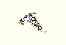 CC(C)C1CC[C@]2(NCCN3C[C@@H]4CC3CS4(=O)=O)CC[C@]3(C)[C@H](CC[C@@H]4[C@@]5(C)CC[C@@H](c6ccc(C(=O)O)cc6)C(C)(C)[C@@H]5CC[C@]43C)[C@@H]12